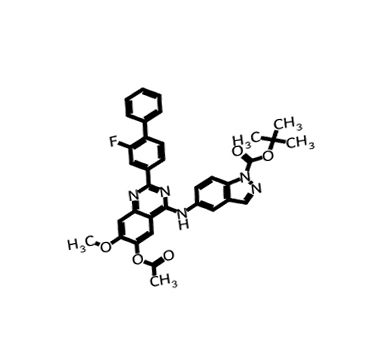 COc1cc2nc(-c3ccc(-c4ccccc4)c(F)c3)nc(Nc3ccc4c(cnn4C(=O)OC(C)(C)C)c3)c2cc1OC(C)=O